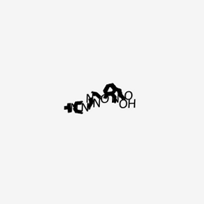 Cn1c(C(=O)O)cc2cccc(Oc3ccnc(CN4CCN(C(C)(C)C)CC4)n3)c21